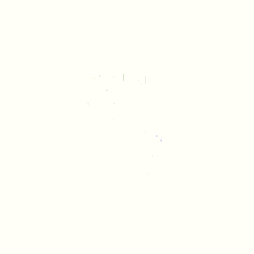 O=C=Nc1ccc(C(F)(Cl)Cl)c(Cl)c1